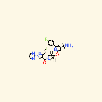 CC(C)(N)c1cc(O[C@H]2[C@@H]3CN(C(=O)c4cn(-c5ncccn5)nc4CCF)C[C@@H]32)nc(-c2ccc(F)cc2)c1